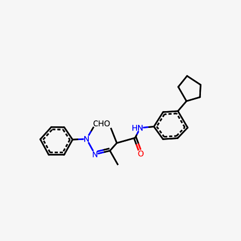 C/C(=N/N(C=O)c1ccccc1)C(C)C(=O)Nc1cccc(C2CCCC2)c1